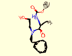 CC(C)C(NC(=O)OC(C)(C)C)C(=O)N(CCO)Cc1ccccc1